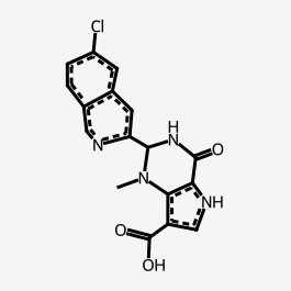 CN1c2c(C(=O)O)c[nH]c2C(=O)NC1c1cc2cc(Cl)ccc2cn1